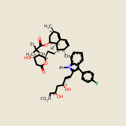 CC(C)n1c(/C=C/[C@@H](O)C[C@@H](O)CC(=O)O)c(-c2ccc(F)cc2)c2ccccc21.CCC(C)(C)C(=O)O[C@H]1C[C@@H](C)C=C2C=C[C@H](C)[C@H](CC[C@@H]3C[C@@H](O)CC(=O)O3)[C@H]21